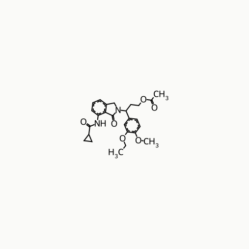 CCOc1cc(C(CCOC(C)=O)N2Cc3cccc(NC(=O)C4CC4)c3C2=O)ccc1OC